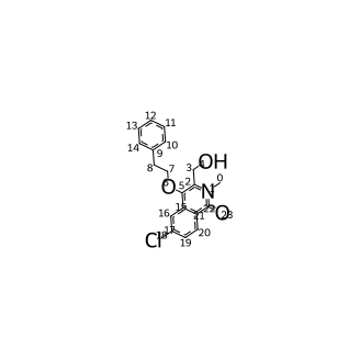 Cn1c(CO)c(OCCc2ccccc2)c2cc(Cl)ccc2c1=O